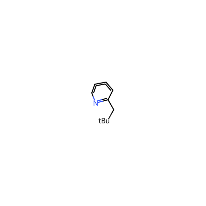 CC(C)(C)CC1=NC=C=C=C1